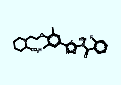 CCCCN(C(=O)c1ccccc1F)c1nnc(-c2cc(C)c(OCCN3CCCCC3C(=O)O)c(C)c2)s1